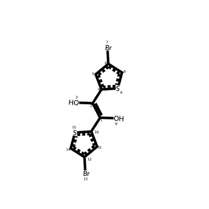 O/C(=C(/O)c1cc(Br)cs1)c1cc(Br)cs1